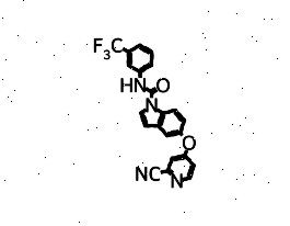 N#Cc1cc(Oc2ccc3c(ccn3C(=O)Nc3cccc(C(F)(F)F)c3)c2)ccn1